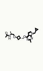 CC(=O)N[C@@H](C)CO[C@H]1C[C@H](COc2nc(C)nc3c2ccn3CC2CC2)C1